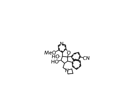 COc1cncc2c1[C@]1(O)[C@H](O)C(CN3CCC3)C(c3ccccc3)C1(c1ccc(C#N)cc1)O2